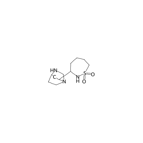 O=S1(=O)CCCCC(C2CC3CCN2CN3)N1